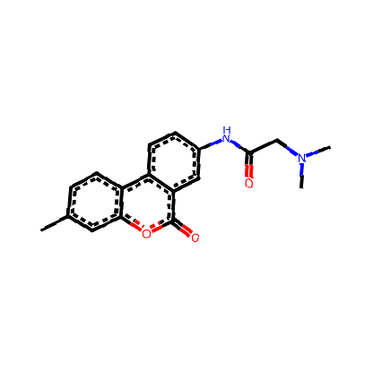 Cc1ccc2c(c1)oc(=O)c1cc(NC(=O)CN(C)C)ccc12